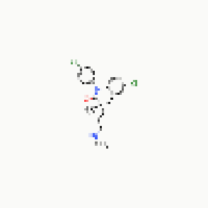 CNCCCC1(C)Cc2cc(Cl)ccc2N(c2ccc(Cl)cc2)C1=O